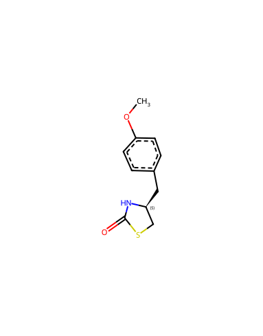 COc1ccc(C[C@H]2CSC(=O)N2)cc1